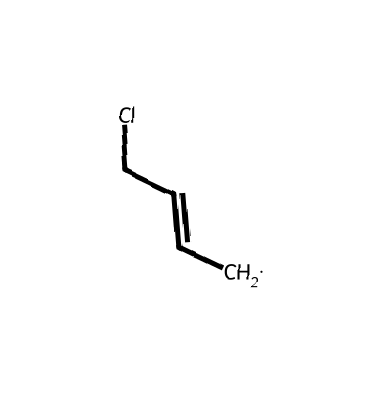 [CH2]/C=C/CCl